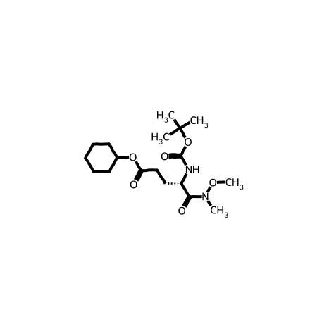 CON(C)C(=O)[C@H](CCC(=O)OC1CCCCC1)NC(=O)OC(C)(C)C